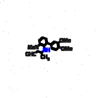 CNc1cccc(-c2ccc(OC)c(OC)c2)c1NC(C)CC=O